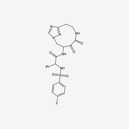 CC(C)C(NS(=O)(=O)c1ccc(F)cc1)C(=O)NC1Cn2cnc(n2)CCNC(=O)C1=O